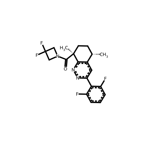 C[C@H]1CC[C@](C)(C(=O)N2CC(F)(F)C2)c2nnc(-c3c(F)cccc3F)cc21